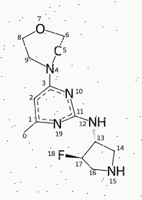 Cc1cc(N2CCOCC2)nc(N[C@@H]2CNC[C@H]2F)n1